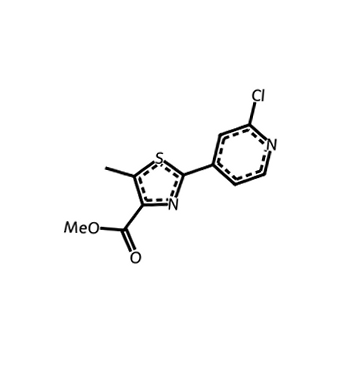 COC(=O)c1nc(-c2ccnc(Cl)c2)sc1C